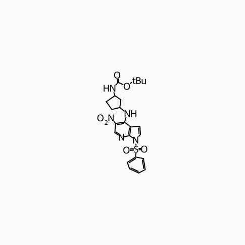 CC(C)(C)OC(=O)NC1CCC(Nc2c([N+](=O)[O-])cnc3c2ccn3S(=O)(=O)c2ccccc2)C1